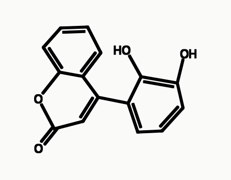 O=c1cc(-c2cccc(O)c2O)c2ccccc2o1